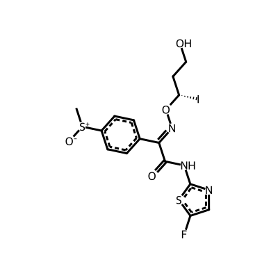 C[S+]([O-])c1ccc(/C(=N\O[C@@H](I)CCO)C(=O)Nc2ncc(F)s2)cc1